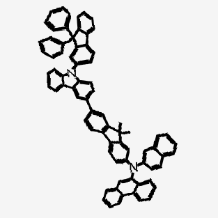 CC1(C)c2cc(-c3ccc4c(c3)c3ccccc3n4-c3ccc4c(c3)C(c3ccccc3)(c3ccccc3)c3ccccc3-4)ccc2-c2ccc(N(c3ccc4ccccc4c3)c3cc4ccccc4c4ccccc34)cc21